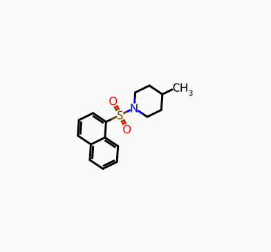 CC1CCN(S(=O)(=O)c2cccc3ccccc23)CC1